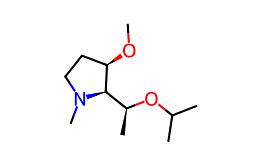 CO[C@@H]1CCN(C)[C@@H]1[C@H](C)OC(C)C